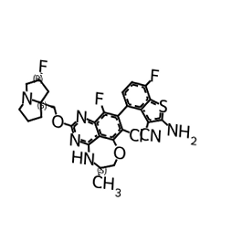 C[C@H]1COc2c(Cl)c(-c3ccc(F)c4sc(N)c(C#N)c34)c(F)c3nc(OC[C@@]45CCCN4C[C@H](F)C5)nc(c23)N1